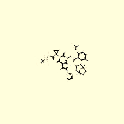 Cc1c(-n2nccn2)sc2c1c(=O)n(C1(C(=O)NS(=O)(=O)C(C)(C)C)CC1)c(=O)n2C[C@H](OC1C[C@H]2CC[C@@H](C1)O2)c1cc(F)ccc1OC(F)F